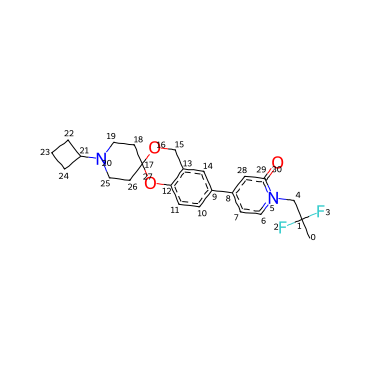 CC(F)(F)Cn1ccc(-c2ccc3c(c2)COC2(CCN(C4CCC4)CC2)O3)cc1=O